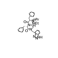 CCCN1C(Cc2ccccc2)C(=O)N2[C@@H](Cc3ccccc3)C(=O)N(Cc3cccc4[nH]nnc34)C[C@@H]2N1CC